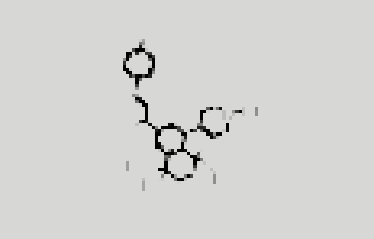 CC(C)N1CC=C(c2cc(C(O)C=Cc3ccc(C(=O)O)cc3)cc3c2C(C)(C)CCC3(C)C)CC1